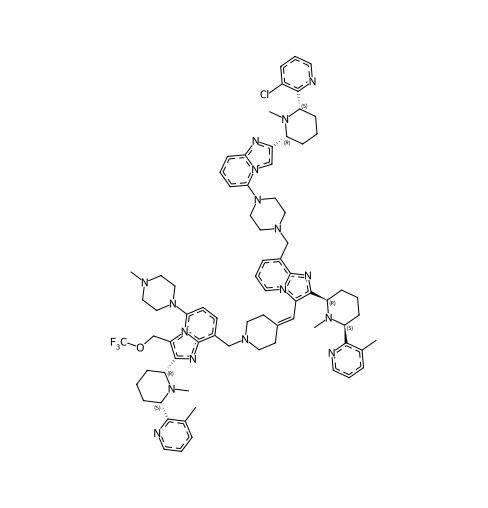 Cc1cccnc1[C@@H]1CCC[C@H](c2nc3c(CN4CCN(c5cccc6nc([C@H]7CCC[C@@H](c8ncccc8Cl)N7C)cn56)CC4)cccn3c2C=C2CCN(Cc3ccc(N4CCN(C)CC4)n4c(COC(F)(F)F)c([C@H]5CCC[C@@H](c6ncccc6C)N5C)nc34)CC2)N1C